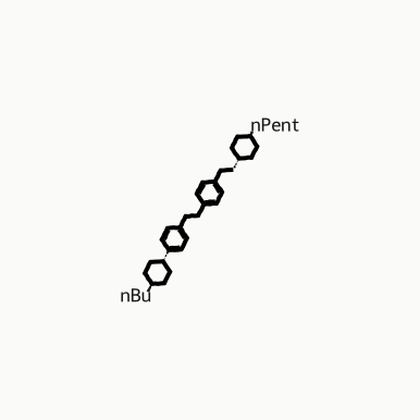 CCCCC[C@H]1CC[C@H](CCc2ccc(CCc3ccc([C@H]4CC[C@H](CCCC)CC4)cc3)cc2)CC1